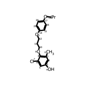 Cc1cc(O)cc(Cl)c1OCCCOc1ccc(OC(C)C)cc1